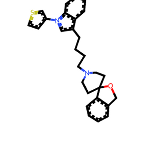 c1ccc2c(c1)COC21CCN(CCCCc2cn(-c3ccsc3)c3ccccc23)CC1